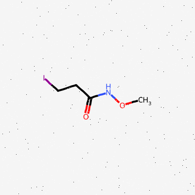 CONC(=O)CCI